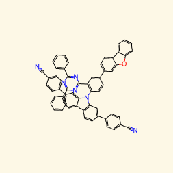 N#Cc1ccc(-c2ccc3c4ccc(-c5ccc(C#N)cc5)cc4n(-c4ccc(-c5ccc6c(c5)oc5ccccc56)cc4-c4nc(-c5ccccc5)nc(-c5ccccc5)n4)c3c2)cc1